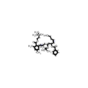 Cc1cc(C)c(C(=O)OCC[Si](C)(C)C)c(/C=C/C[C@@H](CC(/C=C\CCO)OC(=O)c2ccccc2)OC(C)(C)O)c1